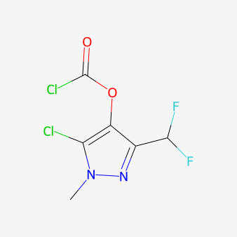 Cn1nc(C(F)F)c(OC(=O)Cl)c1Cl